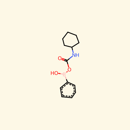 O=C(NC1CCCCC1)OB(O)c1ccccc1